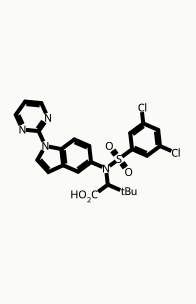 CC(C)(C)C(C(=O)O)N(c1ccc2c(ccn2-c2ncccn2)c1)S(=O)(=O)c1cc(Cl)cc(Cl)c1